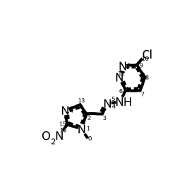 Cn1c(C=NNc2ccc(Cl)nn2)cnc1[N+](=O)[O-]